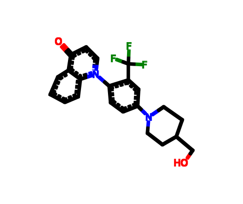 O=c1ccn(-c2ccc(N3CCC(CO)CC3)cc2C(F)(F)F)c2ccccc12